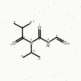 CC(F)C(=O)N(C(=O)NC=O)C(C)C